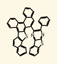 c1ccc(-c2nc3sc4ccccc4c3nc2-c2cc3ccccc3c3c4ccccc4c4c5ccc6ccccc6c5sc4c23)cc1